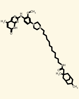 COc1cc(N2CCN(CCCCCCCCCCCCNC(=O)CC3(C)CC4CC(C)CC(C4)C3)CC2)ccc1Nc1ncc2c(C)cc(=O)[nH]c2n1